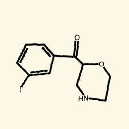 O=C(c1cccc(I)c1)C1CNCCO1